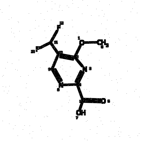 COc1nc(C(=O)O)ncc1C(F)F